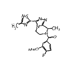 COc1cc(C(=O)N2CCn3c(-c4nc(C)ns4)nnc3C2C)ccc1F